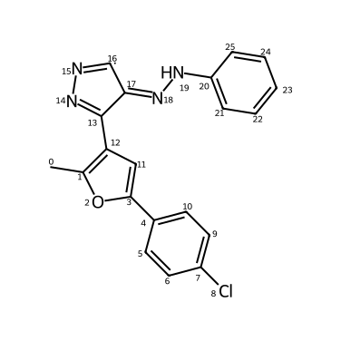 Cc1oc(-c2ccc(Cl)cc2)cc1C1=NN=[C]C1=NNc1ccccc1